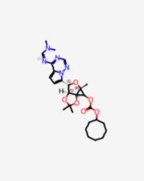 CN(C)/C=N\c1ncnn2c([C@@H]3O[C@]4(C)C(OC(=O)OC5CCCCCCC5)[C@@]45OC(C)(C)O[C@@H]35)ccc12